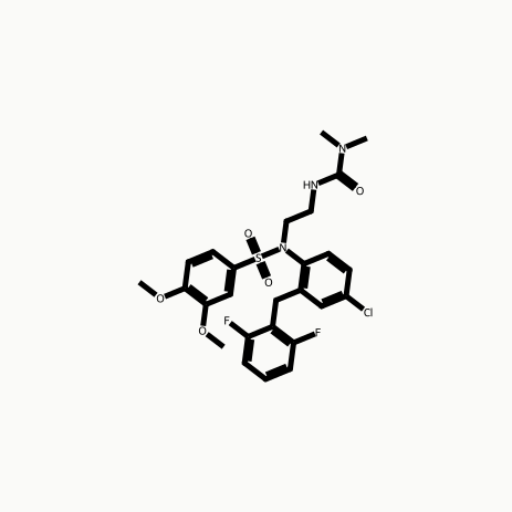 COc1ccc(S(=O)(=O)N(CCNC(=O)N(C)C)c2ccc(Cl)cc2Cc2c(F)cccc2F)cc1OC